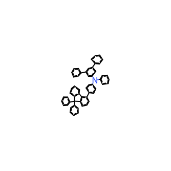 c1ccc(-c2cc(-c3ccccc3)cc(N(c3ccccc3)c3ccc(-c4cccc5c4-c4ccccc4C5(c4ccccc4)c4ccccc4)cc3)c2)cc1